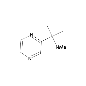 CNC(C)(C)c1cnccn1